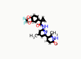 Cc1cc(NC(=O)C2(c3ccc4c(c3)OC(F)(F)O4)CC2)nc(-c2ccc(=O)[nH]c2C)c1